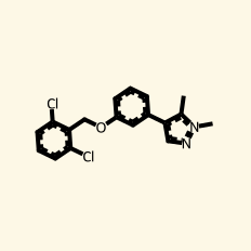 Cc1c(-c2cccc(OCc3c(Cl)cccc3Cl)c2)cnn1C